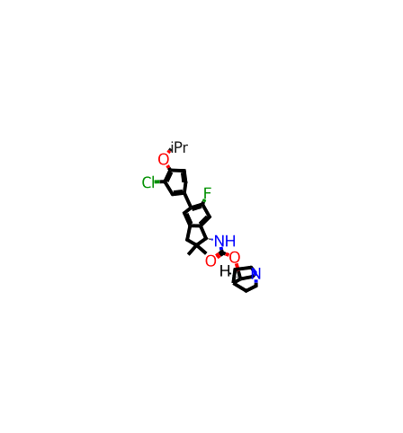 CC(C)Oc1ccc(-c2cc3c(cc2F)[C@H](NC(=O)O[C@H]2CN4CCC2CC4)C(C)(C)C3)cc1Cl